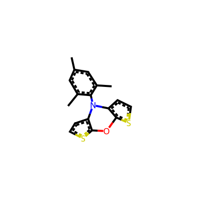 Cc1cc(C)c(N2c3ccsc3Oc3sccc32)c(C)c1